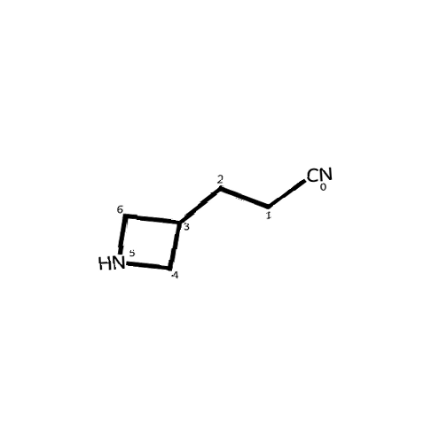 N#CCCC1CNC1